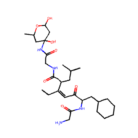 CC/C(=C/C(=O)C(CC1CCCCC1)NC(=O)CN)C(CC(C)C)C(=O)NCC(=O)NC1(O)CC(C)OC(O)C1